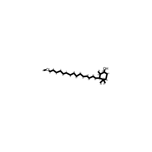 COCCCCCCCCCCCCCCCC1C(C)C(O)CCC1(C)C